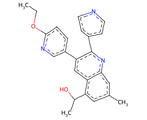 CCOc1ccc(-c2cc3c(C(C)O)cc(C)cc3nc2-c2ccncc2)cn1